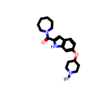 CC(C)N1CCC(Oc2ccc3cc(C(=O)N4CCCCCC4)[nH]c3c2)CC1